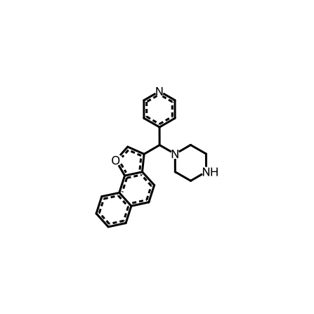 c1ccc2c(c1)ccc1c(C(c3ccncc3)N3CCNCC3)coc12